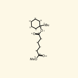 CCCCC1(OC(=O)CCCCC(=O)OC)CCCCC1